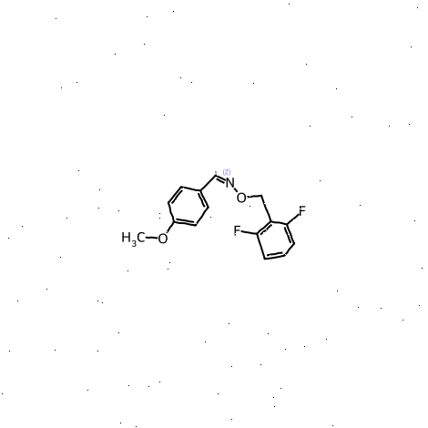 COc1ccc(/[C]=N\OCc2c(F)cccc2F)cc1